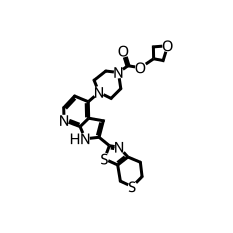 O=C(OC1COC1)N1CCN(c2ccnc3[nH]c(-c4nc5c(s4)CSCC5)cc23)CC1